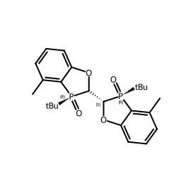 Cc1cccc2c1[P@](=O)(C(C)(C)C)C([C@H]1Oc3cccc(C)c3[P@]1(=O)C(C)(C)C)O2